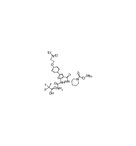 CCN(CC)CCOc1ccc(-c2cc(C(=O)N[C@H]3CCCN(C(=O)OC(C)(C)C)C3)c(NC(N)=O)s2)cc1.O=C(O)C(F)(F)F